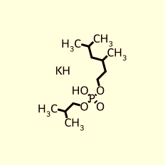 CC(C)COP(=O)(O)OCCC(C)CC(C)C.[KH]